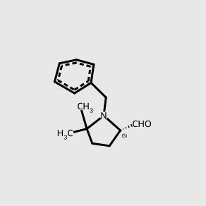 CC1(C)CC[C@@H](C=O)N1Cc1ccccc1